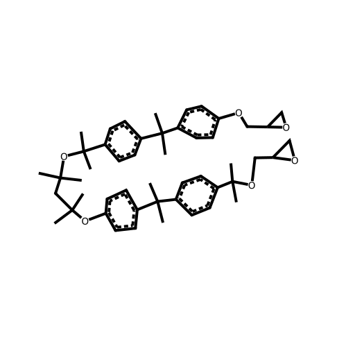 CC(C)(CC(C)(C)OC(C)(C)c1ccc(C(C)(C)c2ccc(OCC3CO3)cc2)cc1)Oc1ccc(C(C)(C)c2ccc(C(C)(C)OCC3CO3)cc2)cc1